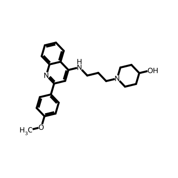 COc1ccc(-c2cc(NCCCN3CCC(O)CC3)c3ccccc3n2)cc1